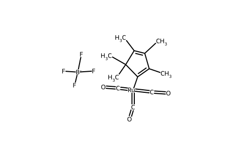 CC1=C(C)C(C)(C)[C]([Ru](=[C]=O)(=[C]=O)=[C]=O)=C1C.F[B-](F)(F)F